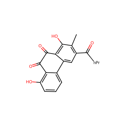 CCCC(=O)c1cc2c(c(O)c1C)C(=O)C(=O)c1c(O)cccc1-2